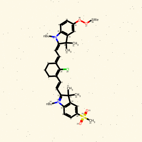 CCCCN1/C(=C/C=C2\CCCC(/C=C/C3=[N+](CCCC)c4ccc(S(C)(=O)=O)cc4C3(C)C)=C2Cl)C(C)(C)c2cc(OOSC)ccc21